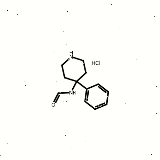 Cl.O=CNC1(c2ccccc2)CCNCC1